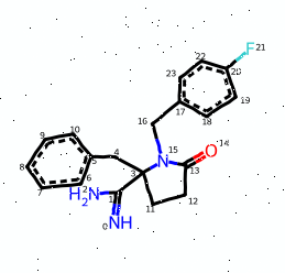 N=C(N)C1(Cc2ccccc2)CCC(=O)N1Cc1ccc(F)cc1